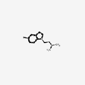 CN(C)CCn1ccc2cc(I)ccc21